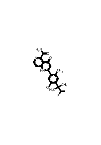 Cc1cc(C(C)(C)C(F)F)c(Cl)cc1-c1cc(=O)c2c(C(N)=O)nccc2[nH]1